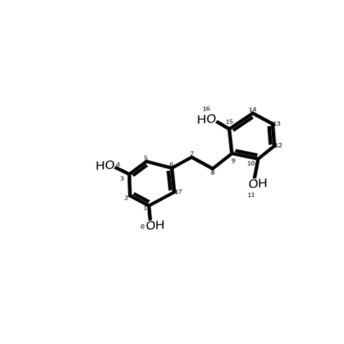 Oc1cc(O)cc(CCc2c(O)cccc2O)c1